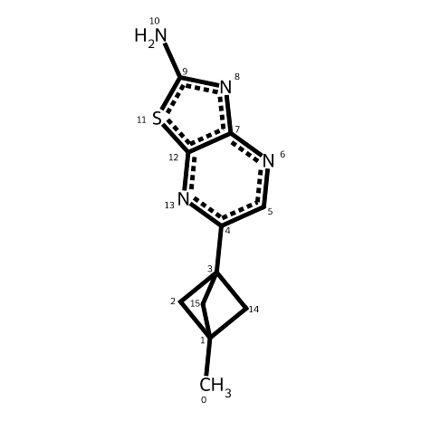 CC12CC(c3cnc4nc(N)sc4n3)(C1)C2